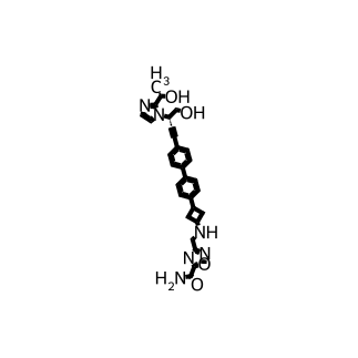 C[C@H](O)c1nccn1[C@@H](C#Cc1ccc(-c2ccc(C3CC(NCc4noc(C(N)=O)n4)C3)cc2)cc1)CO